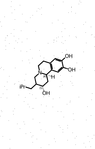 CC(C)CC1CN2CCc3cc(O)c(O)cc3[C@H]2C[C@@H]1O